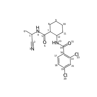 CC(C#N)NC(=O)C1CCCCC1NC(=O)c1ccc(Cl)cc1Cl